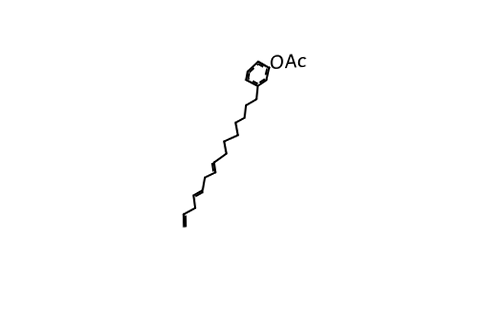 C=CCC=CCC=CCCCCCCCc1cccc(OC(C)=O)c1